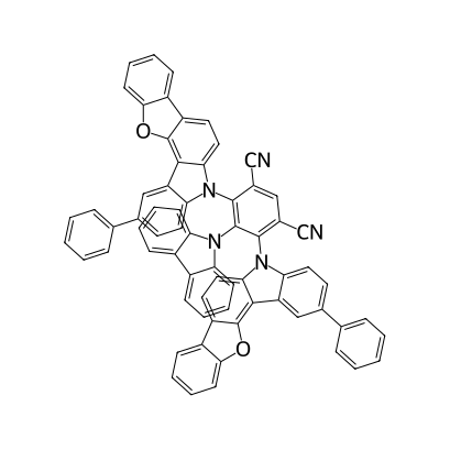 N#Cc1cc(C#N)c(-n2c3ccc(-c4ccccc4)cc3c3c4oc5ccccc5c4ccc32)c(-n2c3ccccc3c3ccccc32)c1-n1c2ccc(-c3ccccc3)cc2c2c3oc4ccccc4c3ccc21